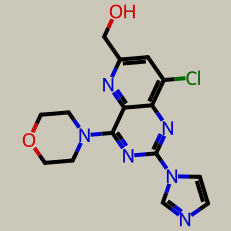 OCc1cc(Cl)c2nc(-n3ccnc3)nc(N3CCOCC3)c2n1